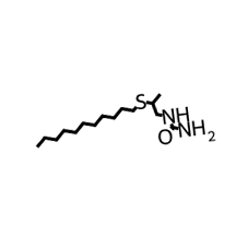 CCCCCCCCCCCSC(C)CNC(N)=O